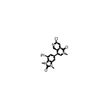 CC(C)c1cc(-c2cn(C)c(=O)c3cc(Cl)ncc23)cc2c1n(C)c(=O)n2C